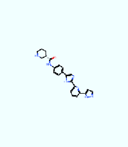 O=C(Nc1ccc(-c2cnc(-c3cccc(-c4ccn[nH]4)n3)[nH]2)cc1)[C@H]1CCCNC1